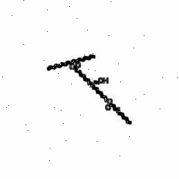 CCCCCCCCC(CCCCCCCC)OC(=O)CCCCCCCN(CCO)CCCCCCCOC(=O)CCSCCCCCC